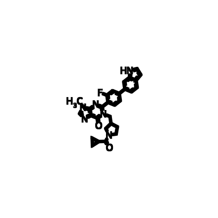 Cn1cnc2c(=O)n(CC3CCN(C(=O)C4CC4)C3)c(-c3ccc(-c4ccc5cc[nH]c5c4)cc3F)nc21